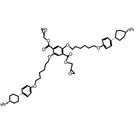 CCC[C@H]1CC[C@H](c2ccc(OCCCCCCOc3cc(C(=O)OCC4CO4)c(OCCCCCCOc4ccc([C@H]5CC[C@H](CCC)CC5)cc4)cc3C(=O)OCC3CO3)cc2)CC1